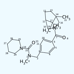 CN(Cc1ccc(C(=O)N2CC3CCC(C)(C2)C3(C)C)cc1)C(=O)N1CCCCC1